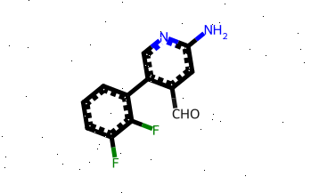 Nc1cc(C=O)c(-c2cccc(F)c2F)cn1